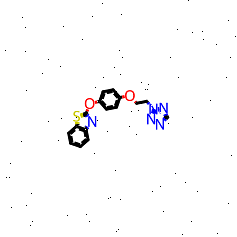 c1ccc2sc(Oc3ccc(OCCn4ncnn4)cc3)nc2c1